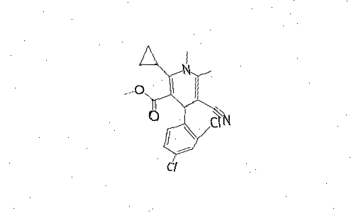 COC(=O)C1=C(C2CC2)N(C)C(C)=C(C#N)C1c1ccc(Cl)cc1Cl